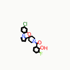 O=C(c1cccc(F)c1O)N1CCC2(CC1)Oc1cc(Cl)ccc1-n1cccc12